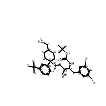 CC(C)(C)OC(=O)NC(Cc1cc(F)cc(F)c1)C(O)CNC1(c2cccc(C(C)(C)C)c2)CCC(CO)CC1